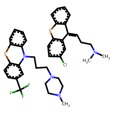 CN(C)CC/C=C1/c2ccccc2Sc2ccc(Cl)cc21.CN1CCN(CCCN2c3ccccc3Sc3ccc(C(F)(F)F)cc32)CC1